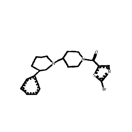 O=C(c1cnc(Br)s1)N1CCC(N2CCCC(c3ccccc3)C2)CC1